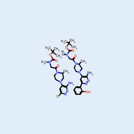 CC1CN(c2cc(-c3ccccc3O)nnc2N)CCN1C(=O)CN(C)C(=O)OC(C)(C)C.CC1CN(c2cc(Cl)nnc2N)CCN1C(=O)CN(C)C(=O)OC(C)(C)C